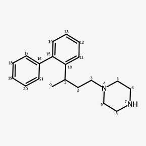 CC(CCN1CCNCC1)c1ccccc1-c1ccccc1